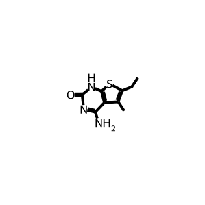 CCc1sc2[nH]c(=O)nc(N)c2c1C